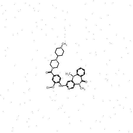 CCOc1cc(C(=O)N2CCN(C3CCN(C)CC3)CC2)ccc1Nc1cc2c(cn1)N(C)C(=O)c1ccccc1N2C